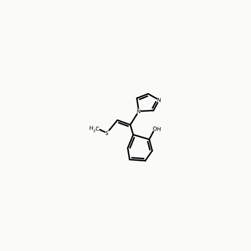 CS/C=C(\c1ccccc1O)n1ccnc1